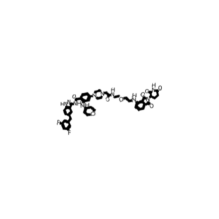 O=C(CN1CCN(c2ccc(C(=O)Nc3n[nH]c4ccc(Cc5cc(F)cc(F)c5)cc34)c(NC3CCOCC3)c2)CC1)NCCOCCNc1cccc2c1C(=O)N(C1CCC(=O)NC1=O)C2=O